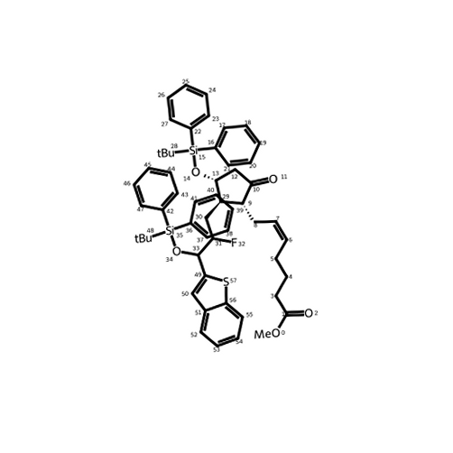 COC(=O)CCC/C=C\C[C@H]1C(=O)C[C@@H](O[Si](c2ccccc2)(c2ccccc2)C(C)(C)C)[C@@H]1CC(F)C(O[Si](c1ccccc1)(c1ccccc1)C(C)(C)C)c1cc2ccccc2s1